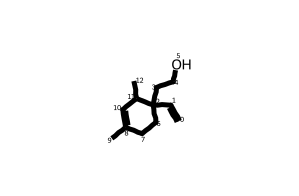 C=CC1(CCO)CCC(C)=CC1C